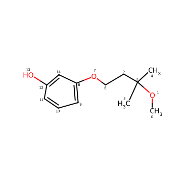 COC(C)(C)CCOc1cccc(O)c1